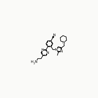 Cc1nc(CN2CCCCC2)cn1Cc1cc(C#N)ccc1-c1ncc(CCN)cn1